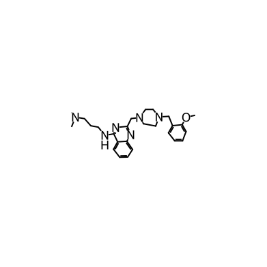 COc1ccccc1CN1CCN(Cc2nc(NCCCN(C)C)c3ccccc3n2)CC1